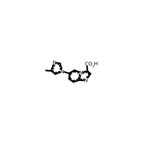 Cc1cn(-c2ccc3ncc(C(=O)O)n3c2)cn1